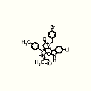 Cc1ccc(S[C@@]2(C(=O)N[C@@H](C)CO)CC(=O)N(Cc3ccc(Br)cc3)[C@H]2c2c[nH]c3cc(Cl)ccc23)cc1